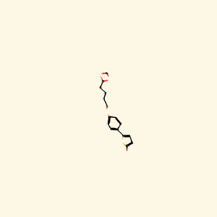 Brc1ccc(-c2ccc(OCCCCC3OCO3)cc2)s1